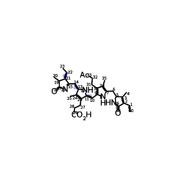 C=CC1=C(C)C(Cc2[nH]c(/C=c3\[nH]/c(=C/C4=NC(=O)C(C)/C4=C\C)c(C)c3CCC(=O)O)c(CCC(C)=O)c2C)NC1=O